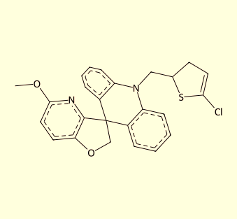 COc1ccc2c(n1)C1(CO2)c2ccccc2N(CC2CC=C(Cl)S2)c2ccccc21